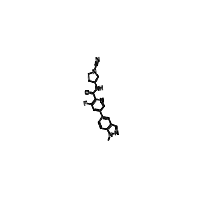 Cn1ncc2cc(-c3cnc(C(=O)NC4CCN(C#N)C4)c(F)c3)ccc21